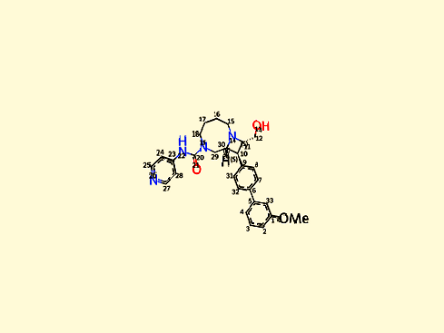 COc1cccc(-c2ccc([C@@H]3[C@@H](CO)N4CCCCN(C(=O)Nc5ccncc5)C[C@@H]34)cc2)c1